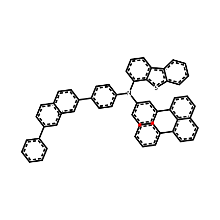 c1ccc(-c2ccc3ccc(-c4ccc(N(c5cccc(-c6cccc7cccc(-c8ccccc8)c67)c5)c5cccc6c5sc5ccccc56)cc4)cc3c2)cc1